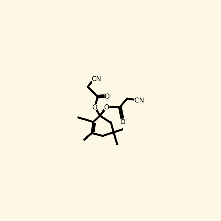 CC1=C(C)C(OC(=O)CC#N)(OC(=O)CC#N)CC(C)(C)C1